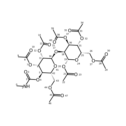 CNC(=O)O[C@H]1[C@H](OC(C)=O)[C@H](OC(C)=O)[C@@H](O[C@@H]2[C@@H](OC(C)=O)O[C@@H](COC(C)=O)[C@@H](OC(C)=O)[C@@H]2OC(C)=O)O[C@@H]1COC(C)=O